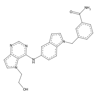 NC(=O)c1cccc(Cn2ccc3cc(Nc4ncnc5ccn(CCO)c45)ccc32)c1